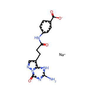 Nc1nc(=O)n2ncc(CCC(=O)Nc3ccc(C(=O)[O-])cc3)c2[nH]1.[Na+]